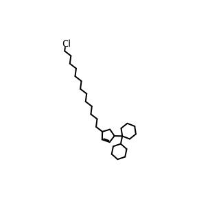 ClCCCCCCCCCCCCCC1C=CC(C2(C3CCCCC3)CCCCC2)C1